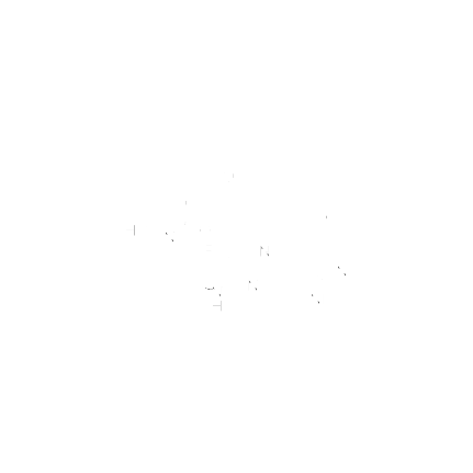 CN(C(=O)OC1CCOC1)C1CCC[C@H](Nc2nc(-c3c[nH]c4ncc(Cl)cc34)ncc2F)C1